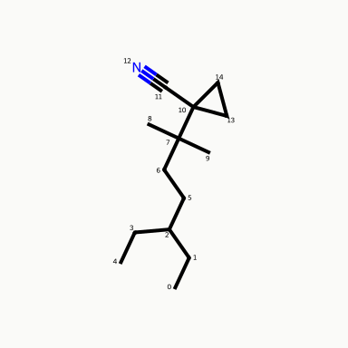 CCC(CC)CCC(C)(C)C1(C#N)CC1